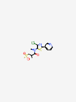 CC(CS(C)(=O)=O)C(=O)N(C)c1sc(-c2cccnc2)nc1Cl